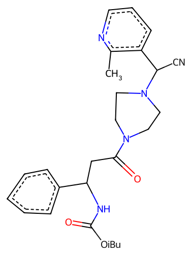 Cc1ncccc1C(C#N)N1CCN(C(=O)CC(NC(=O)OCC(C)C)c2ccccc2)CC1